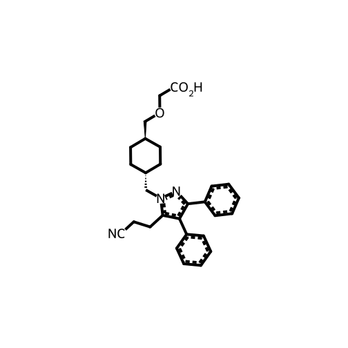 N#CCCc1c(-c2ccccc2)c(-c2ccccc2)nn1C[C@H]1CC[C@H](COCC(=O)O)CC1